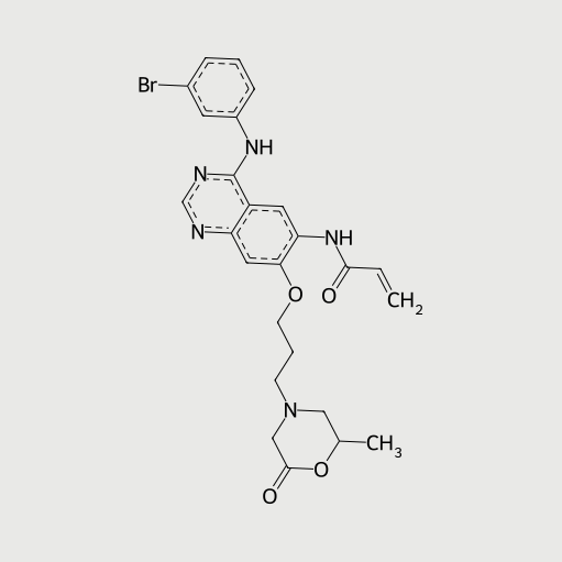 C=CC(=O)Nc1cc2c(Nc3cccc(Br)c3)ncnc2cc1OCCCN1CC(=O)OC(C)C1